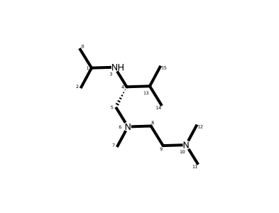 CC(C)N[C@@H](CN(C)CCN(C)C)C(C)C